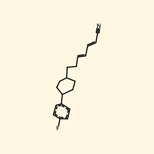 N#CC=CC=CCCC1CCC(c2ccc(F)cc2)CC1